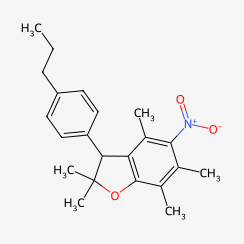 CCCc1ccc(C2c3c(C)c([N+](=O)[O-])c(C)c(C)c3OC2(C)C)cc1